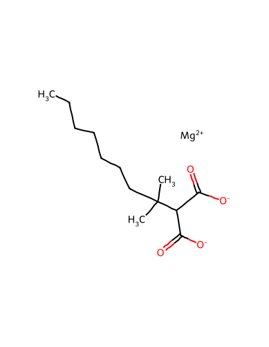 CCCCCCCC(C)(C)C(C(=O)[O-])C(=O)[O-].[Mg+2]